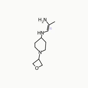 C/C(N)=C/NC1CCN(C2COC2)CC1